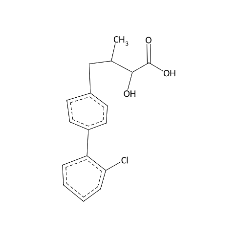 CC(Cc1ccc(-c2ccccc2Cl)cc1)C(O)C(=O)O